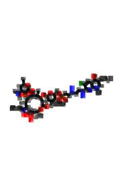 CC[C@H]1OC(=O)[C@H](C)[C@@H](O[C@H]2C[C@@](C)(OC)[C@@H](OS(=O)(=O)CCNCCNc3nc4c(cc3F)c(=O)c(C(=O)O)cn4CC)[C@H](C)O2)[C@H](C)[C@@H](O[C@@H]2O[C@H](C)C[C@H](N(C)C)[C@H]2O)[C@](C)(O)C[C@@H](C)/C(=N\OC)[C@@H](O)[C@]1(C)O